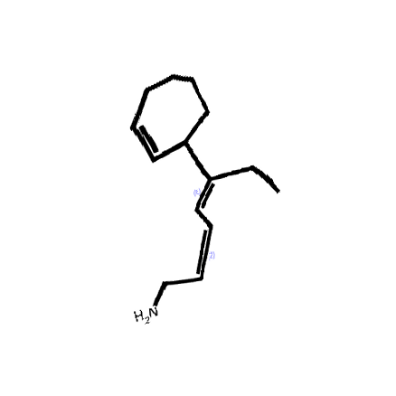 CC/C(=C\C=C/CN)C1C=CCCC1